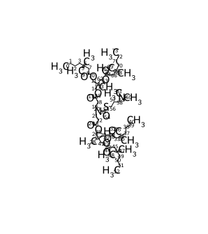 CCCCC(C)(C)CC(=O)OCC(C)(COC(=O)CCN(CCC(=O)OCC(C)(COC(=O)CC(C)(C)CCCC)COC(=O)CC(C)(C)CCCC)C(=O)SCCCN(C)C)COC(=O)CC(C)(C)CCCC